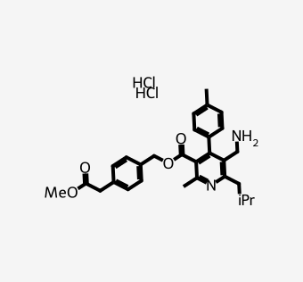 COC(=O)Cc1ccc(COC(=O)c2c(C)nc(CC(C)C)c(CN)c2-c2ccc(C)cc2)cc1.Cl.Cl